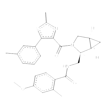 COc1ccc(C(=O)NC[C@@H]2[C@@H]3C[C@@H]3CN2C(=O)c2nc(C)sc2-c2cccc(C)c2)c(C)c1